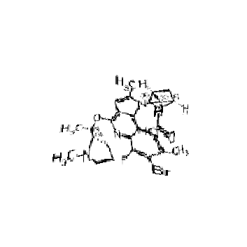 Cc1cc2c(nc(O[C@@H](C)[C@@H]3CCCN3C)c3cc(C)n([C@H]4[C@@H]5C[C@H]4N(C(=O)O)C5)c32)c(F)c1Br